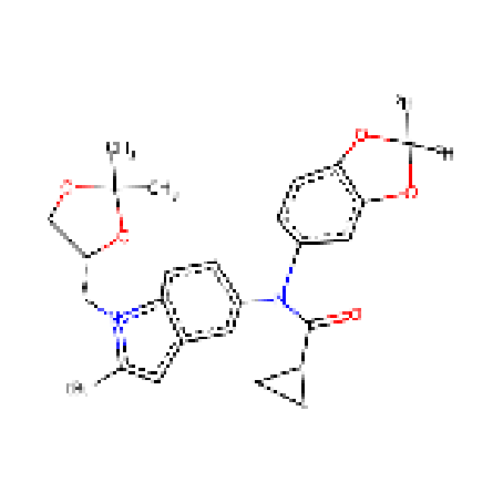 [2H]C1([2H])Oc2ccc(N(C(=O)C3CC3)c3ccc4c(c3)cc(C(C)(C)C)n4C[C@@H]3COC(C)(C)O3)cc2O1